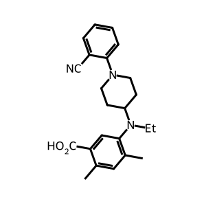 CCN(c1cc(C(=O)O)c(C)cc1C)C1CCN(c2ccccc2C#N)CC1